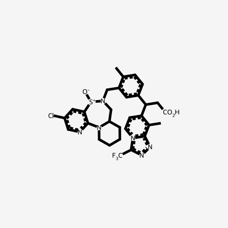 Cc1ccc(C(CC(=O)O)c2ccn3c(C(F)(F)F)nnc3c2C)cc1CN1CC2CCCCN2c2ncc(Cl)cc2[S+]1[O-]